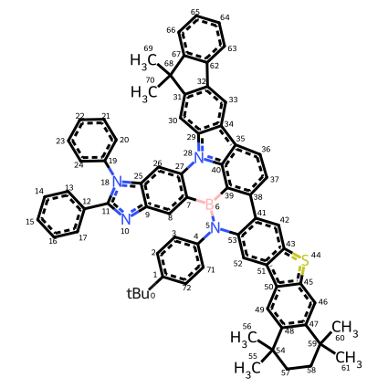 CC(C)(C)c1ccc(N2B3c4cc5nc(-c6ccccc6)n(-c6ccccc6)c5cc4-n4c5cc6c(cc5c5ccc(c3c54)-c3cc4sc5cc7c(cc5c4cc32)C(C)(C)CCC7(C)C)-c2ccccc2C6(C)C)cc1